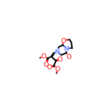 COC(=O)C(=O)/C(=C\N1CC(=O)N2CCCOC2C1)C(=O)OC